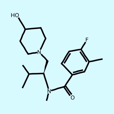 Cc1cc(C(=O)N(C)[C@H](CN2CCC(O)CC2)C(C)C)ccc1F